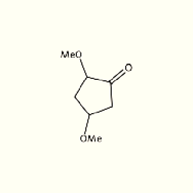 COC1CC(=O)C(OC)C1